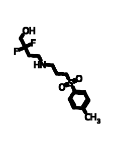 Cc1ccc(S(=O)(=O)CCCNCCC(F)(F)CO)cc1